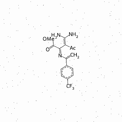 C=C(/N=C(/C(=O)OC)C(C(C)=O)=C(N)N)c1ccc(C(F)(F)F)cc1